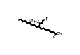 CCCCCC(O)CCCC(CCCCCCC(=O)O)C(O)CCOC